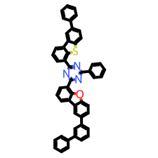 c1ccc(-c2cccc(-c3ccc4oc5c(-c6nc(-c7ccccc7)nc(-c7cccc8c7sc7ccc(-c9ccccc9)cc78)n6)cccc5c4c3)c2)cc1